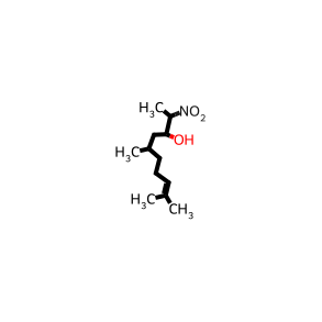 CC(C)=CCCC(C)CC(O)C(C)[N+](=O)[O-]